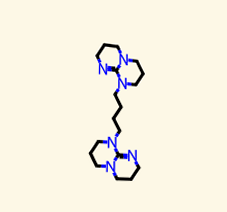 C(CCN1CCCN2CCCN=C12)CN1CCCN2CCCN=C12